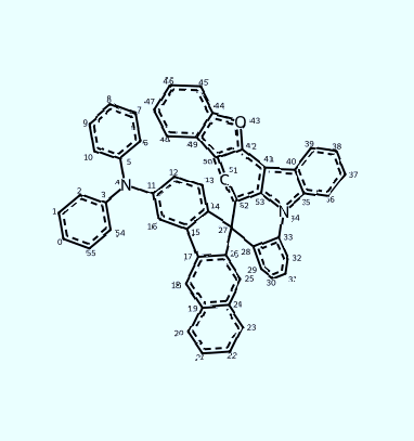 c1ccc(N(c2ccccc2)c2ccc3c(c2)-c2cc4ccccc4cc2C32c3ccccc3-n3c4ccccc4c4c5oc6ccccc6c5cc2c43)cc1